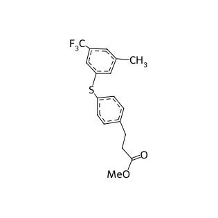 COC(=O)CCc1ccc(Sc2cc(C)cc(C(F)(F)F)c2)cc1